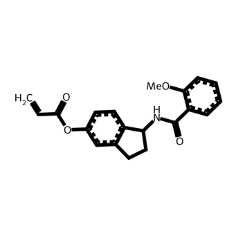 C=CC(=O)Oc1ccc2c(c1)CCC2NC(=O)c1ccccc1OC